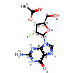 CC(C)(C)C(=O)O[C@H]1[C@@H](F)[C@H](n2cnc3c(=O)[nH]c(N)nc32)O[C@@H]1CO